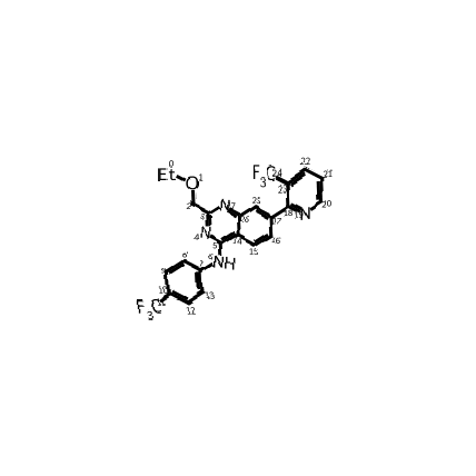 CCOCc1nc(Nc2ccc(C(F)(F)F)cc2)c2ccc(-c3ncccc3C(F)(F)F)cc2n1